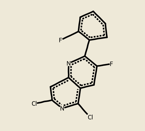 Fc1ccccc1-c1nc2cc(Cl)nc(Cl)c2cc1F